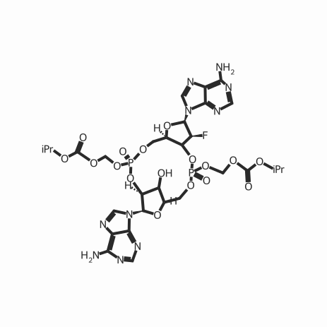 CC(C)OC(=O)OCOP1(=O)OC[C@H]2O[C@@H](n3cnc4c(N)ncnc43)[C@@H](OP(=O)(OCOC(=O)OC(C)C)OC[C@H]3O[C@@H](n4cnc5c(N)ncnc54)[C@@H](F)C3O1)C2O